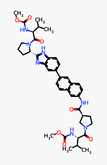 COC(=O)N[C@H](C(=O)N1CC[C@H](C(=O)Nc2ccc3cc(-c4ccc5[nH]c([C@@H]6CCCN6C(=O)[C@@H](NC(=O)OC)C(C)C)nc5c4)ccc3c2)C1)C(C)C